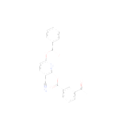 CC(=O)c1cccc(C(=O)Oc2nc(OC(=O)c3ccccc3)ccc2C#N)c1